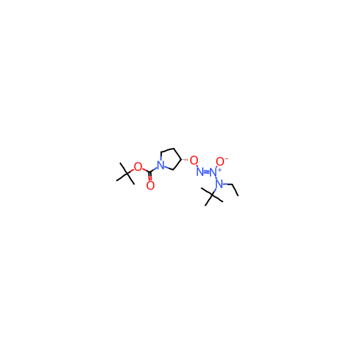 CCN(/[N+]([O-])=N/O[C@H]1CCN(C(=O)OC(C)(C)C)C1)C(C)(C)C